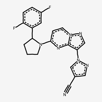 N#Cc1cnn(-c2cnn3ccc(N4CCCC4c4cc(F)ccc4F)nc23)c1